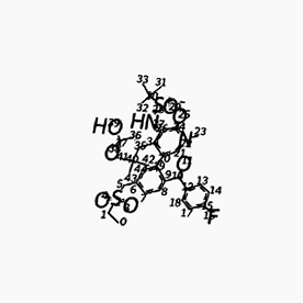 CCS(=O)(=O)Cc1ccc(C(=O)c2ccc(F)cc2)c(-c2cn(C)c(=O)c(N[S@@+]([O-])C(C)(C)C)c2[C@@H](CC(=O)O)C(C)(C)C)c1